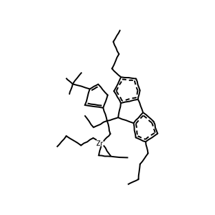 CCCCc1ccc2c(c1)C(C(CC)([CH2][Zr]1([CH2]CCC)[CH2][CH]1C)C1=CC(C(C)(C)C)=CC1)c1cc(CCCC)ccc1-2